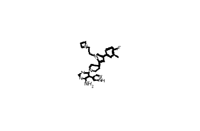 Cc1cc(-c2cc(C3CCN(c4ncnc(N)c4-c4cn[nH]c4)CC3)n(CCN3CCC3)c2)ccc1F